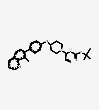 Cc1c(-c2ccc(OC3CCN(C(C=O)NC(=O)OC(C)(C)C)CC3)cc2)ccc2cccnc12